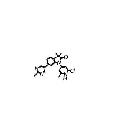 CC1=CC(N2C(=O)C(C)(C)c3ccc(-c4cnc(C)nc4)cc32)=CC(Cl)N1